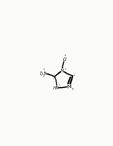 O=[N+]([O-])C1NN=CN1Cl